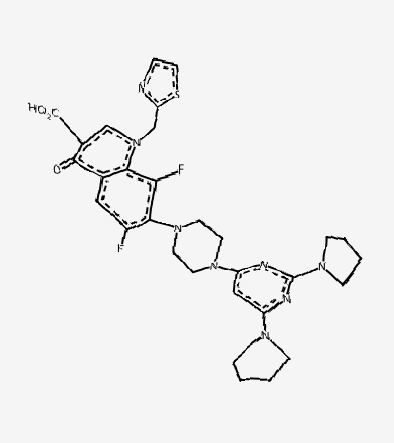 O=C(O)c1cn(Cc2nccs2)c2c(F)c(N3CCN(c4cc(N5CCCC5)nc(N5CCCC5)n4)CC3)c(F)cc2c1=O